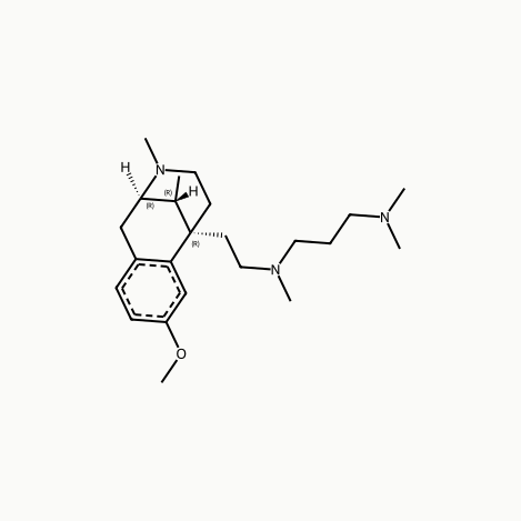 COc1ccc2c(c1)[C@]1(CCN(C)CCCN(C)C)CCN(C)[C@H](C2)[C@@H]1C